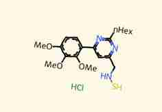 CCCCCCc1nc(CNS)cc(-c2ccc(OC)c(OC)c2OC)n1.Cl